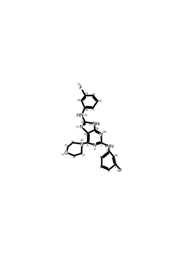 Fc1cccc(Nc2nc(N3CCOCC3)c3nc(Nc4cccc(F)c4)[nH]c3n2)c1